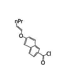 CCCC=COc1ccc2cc(C(=O)Cl)ccc2c1